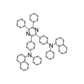 c1ccc(-c2nc(-c3ccc(N(c4ccccc4)c4cccc5ccccc45)cc3)c(-c3ccc(N(c4ccccc4)c4cccc5ccccc45)cc3)nc2-c2ccccc2)cc1